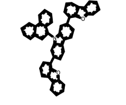 c1ccc2c(c1)cc(-n1c3cc(-c4cccc5c4oc4ccccc45)ccc3c3ccc(-c4cccc5c4oc4ccccc45)cc31)c1ccccc12